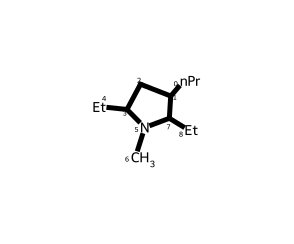 CCCC1CC(CC)N(C)C1CC